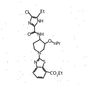 CCCOC1CN(c2nc3cccc(C(=O)OCC)c3s2)CCC1NC(=O)c1nc(Cl)c(CC)[nH]1